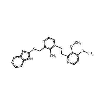 COc1ccnc(CSc2ccnc(CSc3nc4ccccc4[nH]3)c2C)c1OC